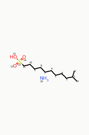 CC(C)CCCCCCCCCS(=O)(=O)O.N